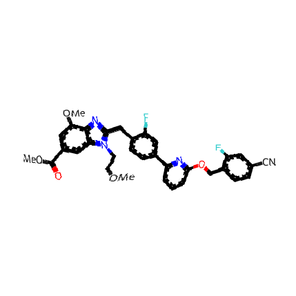 COCCn1c(Cc2ccc(-c3cccc(OCc4ccc(C#N)cc4F)n3)cc2F)nc2c(OC)cc(C(=O)OC)cc21